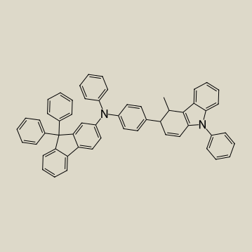 CC1c2c(n(-c3ccccc3)c3ccccc23)C=CC1c1ccc(N(c2ccccc2)c2ccc3c(c2)C(c2ccccc2)(c2ccccc2)c2ccccc2-3)cc1